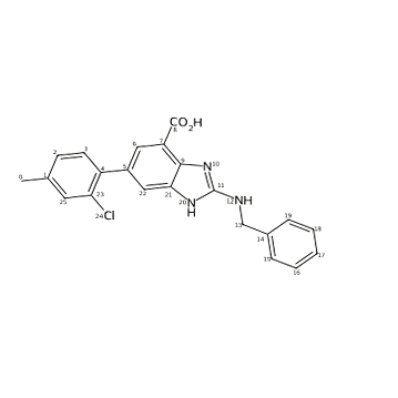 Cc1ccc(-c2cc(C(=O)O)c3nc(NCc4ccccc4)[nH]c3c2)c(Cl)c1